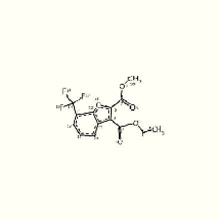 CCOC(=O)c1c(C(=O)OC)oc2c(C(F)(F)F)cccc12